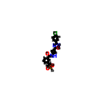 CC(C)(c1cccc(C(=O)NC23CC(c4nc(-c5ccc(Cl)cc5)no4)(C2)C3)c1)S(C)(=O)=O